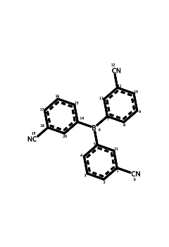 N#Cc1cccc(B(c2cccc(C#N)c2)c2cccc(C#N)c2)c1